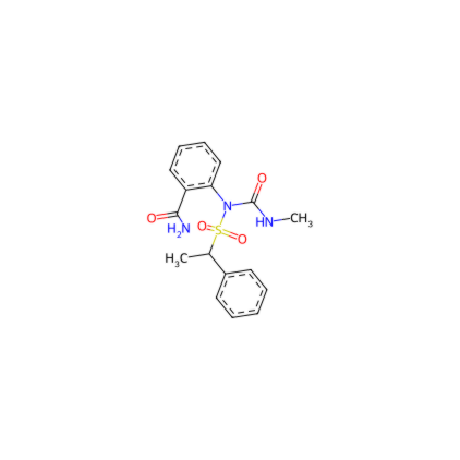 CNC(=O)N(c1ccccc1C(N)=O)S(=O)(=O)C(C)c1ccccc1